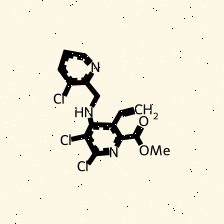 C=Cc1c(C(=O)OC)nc(Cl)c(Cl)c1NCc1ncccc1Cl